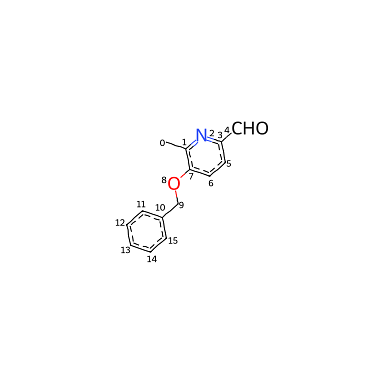 Cc1nc(C=O)ccc1OCc1ccccc1